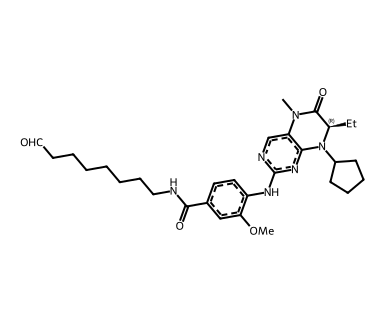 CC[C@@H]1C(=O)N(C)c2cnc(Nc3ccc(C(=O)NCCCCCCCC=O)cc3OC)nc2N1C1CCCC1